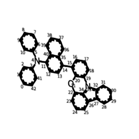 c1ccc(N(c2ccccc2)c2ccc(-c3cccc4c3Oc3cccc5c6ccccc6n-4c35)c3ccccc23)cc1